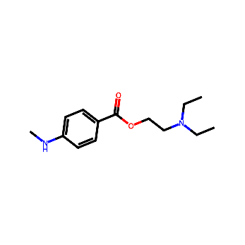 CCN(CC)CCOC(=O)c1ccc(NC)cc1